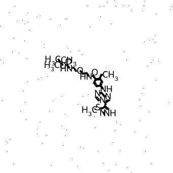 CCc1cc(Nc2nccn3c(-c4c[nH]nc4SC)cnc23)ccc1C(=O)NCCOCCNC(=O)OC(C)(C)C